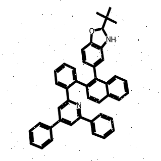 CC(C)(C)C1Nc2cc(-c3c(-c4ccccc4-c4cc(-c5ccccc5)cc(-c5ccccc5)n4)ccc4ccccc34)ccc2O1